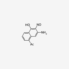 CC(=O)c1cccc2c(O)c(N=O)c(N)cc12